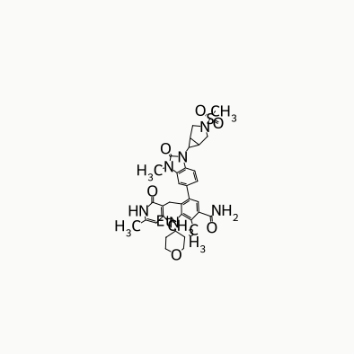 CCN(c1c(C)c(C(N)=O)cc(-c2ccc3c(c2)n(C)c(=O)n3C2C3CN(S(C)(=O)=O)CC32)c1Cc1c(C)cc(C)[nH]c1=O)C1CCOCC1